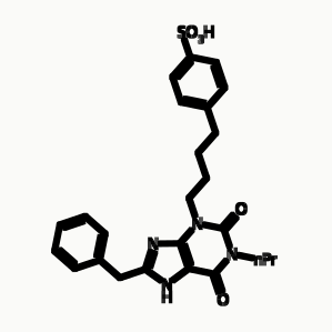 CCCn1c(=O)c2[nH]c(Cc3ccccc3)nc2n(CCCCc2ccc(S(=O)(=O)O)cc2)c1=O